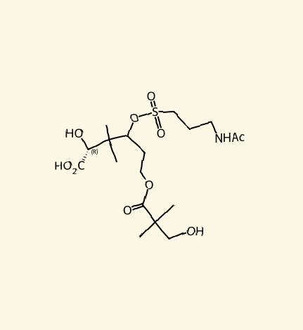 CC(=O)NCCCS(=O)(=O)OC(CCOC(=O)C(C)(C)CO)C(C)(C)[C@@H](O)C(=O)O